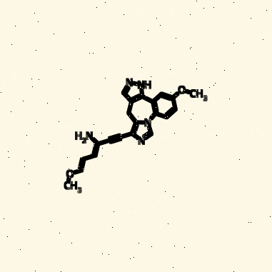 CO/C=C/C=C(\N)C#Cc1ncn2c1Cc1cn[nH]c1-c1cc(OC)ccc1-2